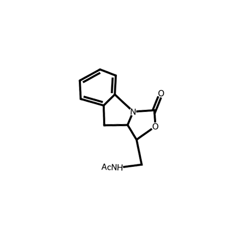 CC(=O)NCC1OC(=O)N2c3ccccc3CC12